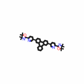 CC1(C)N=C(c2ccc(-c3ccc4c5ccc(-c6ccc(C7=NC(C)(C)C(C)(C)O7)nc6)cc5c5ccccc5c4c3)cn2)OC1(C)C